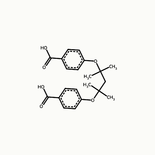 CC(C)(CC(C)(C)Oc1ccc(C(=O)O)cc1)Oc1ccc(C(=O)O)cc1